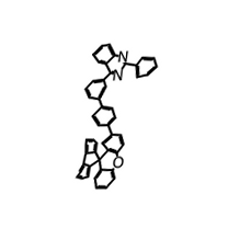 c1ccc(-c2nc(-c3cccc(-c4ccc(-c5ccc6c(c5)C5(c7ccccc7O6)c6ccccc6-c6ccccc65)cc4)c3)c3ccccc3n2)cc1